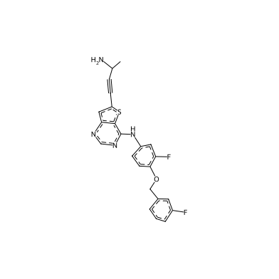 CC(N)C#Cc1cc2ncnc(Nc3ccc(OCc4cccc(F)c4)c(F)c3)c2s1